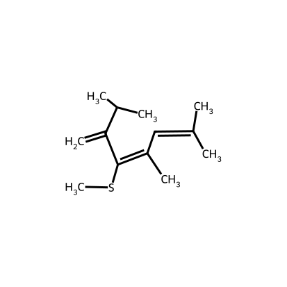 C=C(/C(SC)=C(/C)C=C(C)C)C(C)C